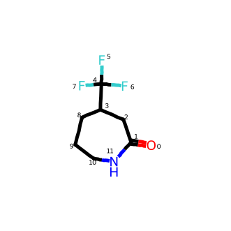 O=C1CC(C(F)(F)F)CCCN1